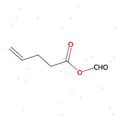 C=CCCC(=O)OC=O